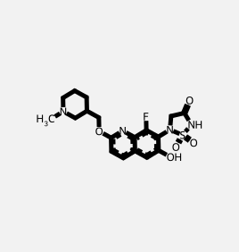 CN1CCCC(COc2ccc3cc(O)c(N4CC(=O)NS4(=O)=O)c(F)c3n2)C1